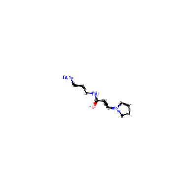 NCCCNC(=O)C=CN1CCCC1